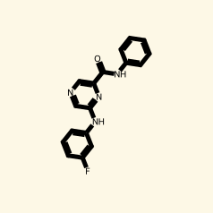 O=C(Nc1ccccc1)c1cncc(Nc2cccc(F)c2)n1